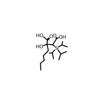 CCCCCC(O)(C(=O)O)C(C(=O)O)[Si](C(C)C)(C(C)C)C(C)C